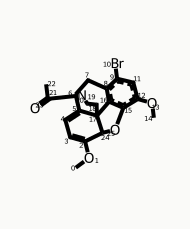 COC1=CC=C2C3Cc4c(Br)cc(OC)c5c4C2(CCN3C(C)=O)C1O5